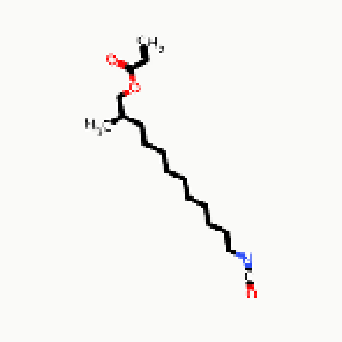 C=CC(=O)OCC(C)CCCCCCCCCCN=C=O